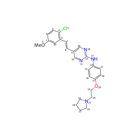 COc1ccc(Cl)c(C=Cc2cnc(Nc3ccc(OCCN4CCCC4)cc3)nc2)c1